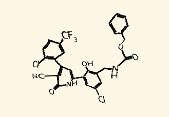 N#Cc1c(-c2cc(C(F)(F)F)ccc2Cl)cc(-c2cc(Cl)cc(CNC(=O)OCc3ccccc3)c2O)[nH]c1=O